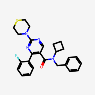 O=C(c1cnc(N2CCSCC2)nc1-c1ccccc1F)N(Cc1ccccc1)C1CCC1